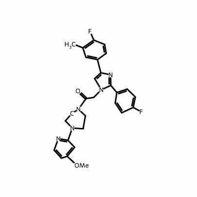 COc1ccnc(N2CCN(C(=O)Cn3cc(-c4ccc(F)c(C)c4)nc3-c3ccc(F)cc3)CC2)c1